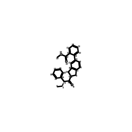 CC[C@@H](C(=O)N1Cc2ccc(-c3ccccc3C(=O)OC)cc2C1)c1ccccc1